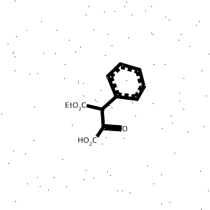 CCOC(=O)C(C(=O)C(=O)O)c1ccccc1